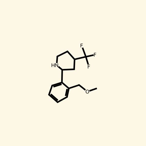 COCc1ccccc1C1CC(C(F)(F)F)CCN1